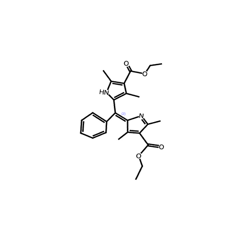 CCOC(=O)C1=C(C)/C(=C(\c2ccccc2)c2[nH]c(C)c(C(=O)OCC)c2C)N=C1C